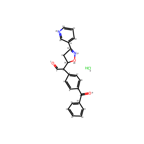 Cl.O=CC(c1ccc(C(=O)c2ccccc2)cc1)C1CC(c2cccnc2)=NO1